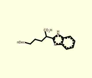 CCCCCCCCCCCCCC(C(=O)O)c1nc2ccccc2[nH]1